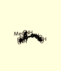 CC[C@@H]1[C@H](F)C(=O)N[C@@H]1COc1ncc(C#CC2CCN(Cc3ccc(N4CCC(=O)NC4=O)cn3)CC2)c2cc(C(N)=O)c(OC)cc12